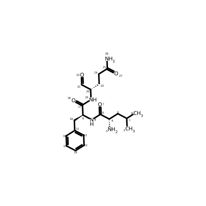 CC(C)C[C@H](N)C(=O)N[C@@H](Cc1ccccc1)C(=O)N[C@H](C=O)CCC(N)=O